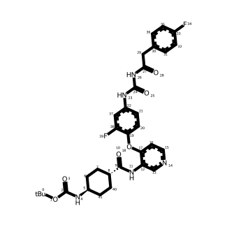 CC(C)(C)OC(=O)N[C@H]1CC[C@H](C(=O)Nc2cnccc2Oc2ccc(NC(=O)NC(=O)Cc3ccc(F)cc3)cc2F)CC1